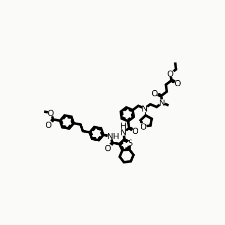 CCOC(=O)CCC(=O)N(C)CCN(Cc1cccc(C(=O)Nc2sc3c(c2C(=O)Nc2ccc(CCc4ccc(C(=O)OC)cc4)cc2)CCCC3)c1)[C@@H]1CCOC1